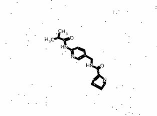 CC(C)C(=O)Nc1ccc(CNC(=O)c2ccccn2)cn1